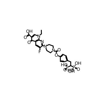 CCn1cc(C(=O)O)c(=O)c2cc(F)c(N3CCN(C(=O)Oc4ccc(CC(P(=O)(O)O)P(=O)(O)O)cc4)CC3)nc21